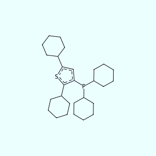 c1c(C2CCCCC2)sc(C2CCCCC2)c1P(C1CCCCC1)C1CCCCC1